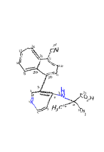 CC(C)(Nc1ccncc1-c1ccc(C#N)c2ccccc12)C(=O)O